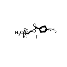 CC[N+](C)(CC)CCOC(=O)c1ccc(N)cc1.[I-]